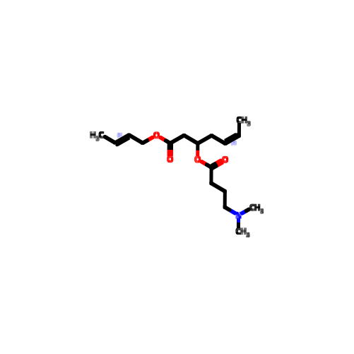 C/C=C\CC(CC(=O)OC/C=C/C)OC(=O)CCCN(C)C